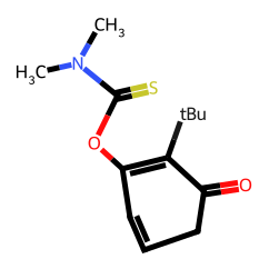 CN(C)C(=S)OC1=C(C(C)(C)C)C(=O)CC=C1